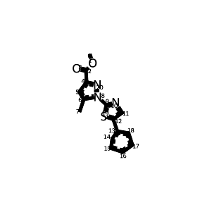 COC(=O)c1cc(C)n(-c2ncc(-c3ccccc3)s2)n1